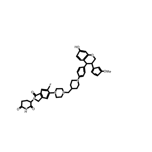 COc1cccc(C2COc3cc(O)ccc3C2c2ccc(N3CCC(CN4CCN(c5cc6c(cc5F)C(=O)N(C5CCC(=O)NC5=O)C6)CC4)CC3)cc2)c1